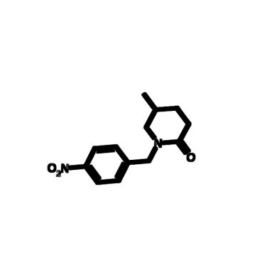 CC1CCC(=O)N(Cc2ccc([N+](=O)[O-])cc2)C1